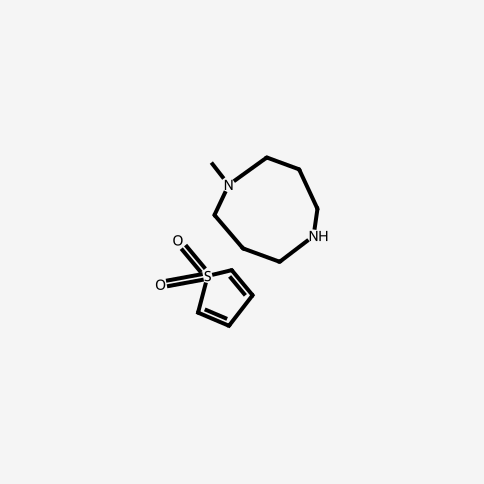 CN1CCCNCCC1.O=S1(=O)C=CC=C1